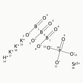 O=B[O-].O=B[O-].O=B[O-].O=P([O-])([O-])[O-].[H+].[K+].[K+].[K+].[Sr+2]